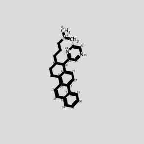 CN(C)CCCC1CCc2c(ccc3c2ccc2ccccc23)C1c1cnccn1